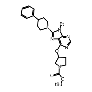 CCn1c(N2CCC(c3ccccc3)CC2)nc2c(OC3CCN(C(=O)OC(C)(C)C)C3)ncnc21